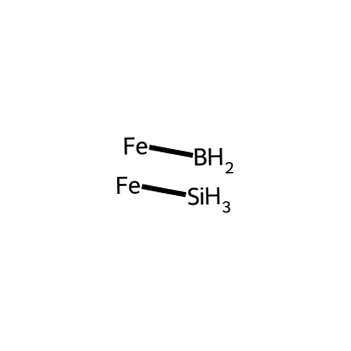 [BH2][Fe].[SiH3][Fe]